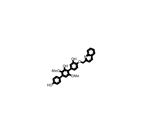 COc1cc(-c2ccc(O)cc2)c(OC)c(O)c1-c1ccc(OCc2ccc3ccccc3n2)c(O)c1